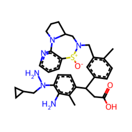 Cc1ccc(C(CC(=O)O)c2ccc(N(N)CC3CC3)c(N)c2C)cc1CN1CC2CCCN2c2ncccc2[S+]1[O-]